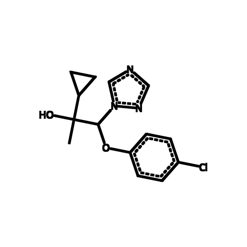 CC(O)(C1CC1)C(Oc1ccc(Cl)cc1)n1cncn1